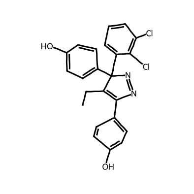 CCC1=C(c2ccc(O)cc2)N=NC1(c1ccc(O)cc1)c1cccc(Cl)c1Cl